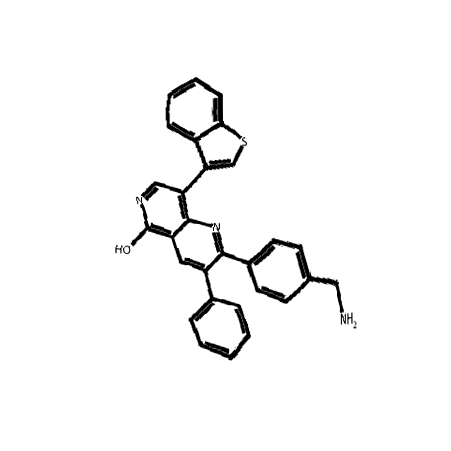 NCc1ccc(-c2nc3c(-c4csc5ccccc45)cnc(O)c3cc2-c2ccccc2)cc1